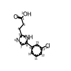 O=C(O)CCc1ncc(-c2cccc(Cl)c2)[nH]1